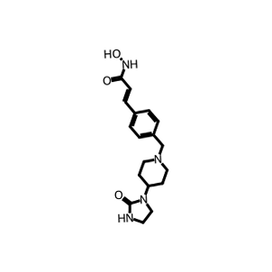 O=C(C=Cc1ccc(CN2CCC(N3CCNC3=O)CC2)cc1)NO